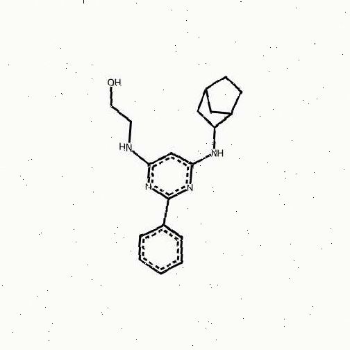 OCCNc1cc(NC2CC3CCC2C3)nc(-c2ccccc2)n1